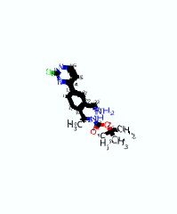 CC(NC(=O)OC(C)(C)C)c1ccc(-c2ccnc(Cl)n2)cc1CN